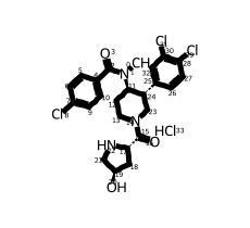 CN(C(=O)c1ccc(Cl)cc1)[C@@H]1CCN(C(=O)[C@@H]2C[C@@H](O)CN2)C[C@H]1c1ccc(Cl)c(Cl)c1.Cl